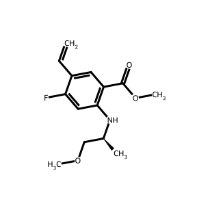 C=Cc1cc(C(=O)OC)c(N[C@@H](C)COC)cc1F